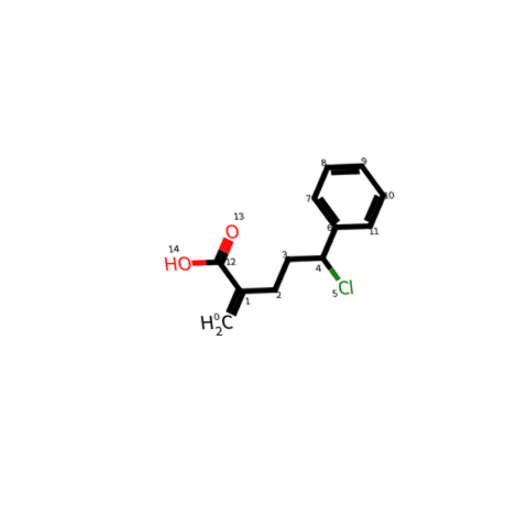 C=C(CCC(Cl)c1ccccc1)C(=O)O